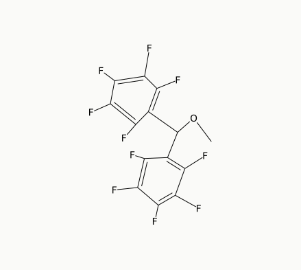 COC(c1c(F)c(F)c(F)c(F)c1F)c1c(F)c(F)c(F)c(F)c1F